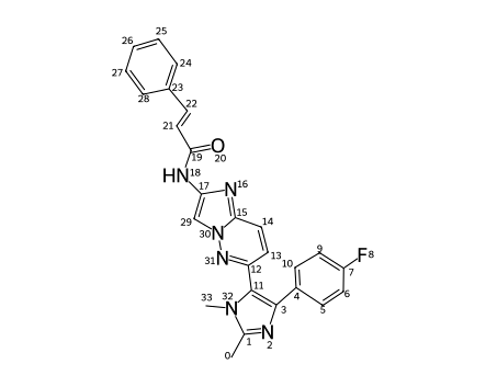 Cc1nc(-c2ccc(F)cc2)c(-c2ccc3nc(NC(=O)/C=C/c4ccccc4)cn3n2)n1C